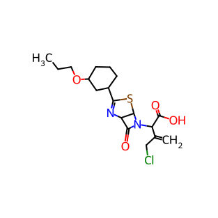 C=C(CCl)C(C(=O)O)N1C(=O)C2N=C(C3CCCC(OCCC)C3)SC21